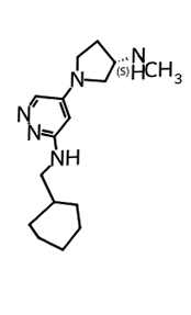 CN[C@H]1CCN(c2cnnc(NCC3CCCCC3)c2)C1